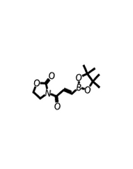 CC1(C)OB(/C=C/C(=O)N2CCOC2=O)OC1(C)C